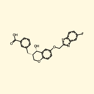 O=C(O)c1cccc(C[C@H]2COc3ccc(OCc4nc5cc(F)ccc5s4)cc3[C@H]2O)c1